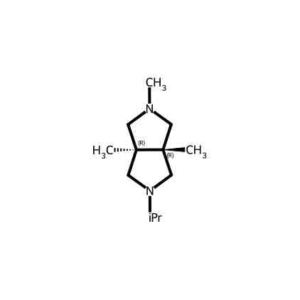 CC(C)N1C[C@@]2(C)CN(C)C[C@]2(C)C1